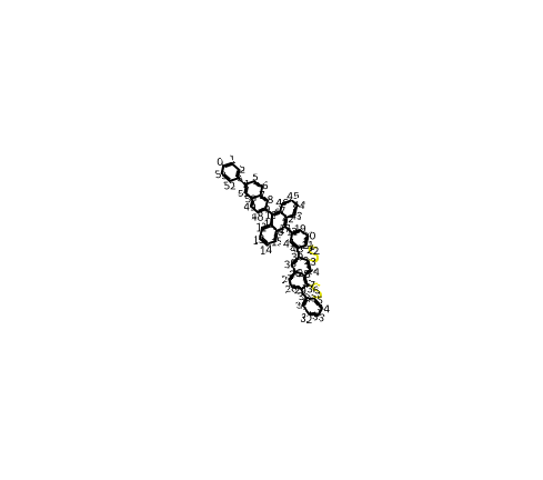 c1ccc(-c2ccc3cc(-c4c5ccccc5c(-c5ccc6sc7cc8c(ccc9c%10ccccc%10sc89)cc7c6c5)c5ccccc45)ccc3c2)cc1